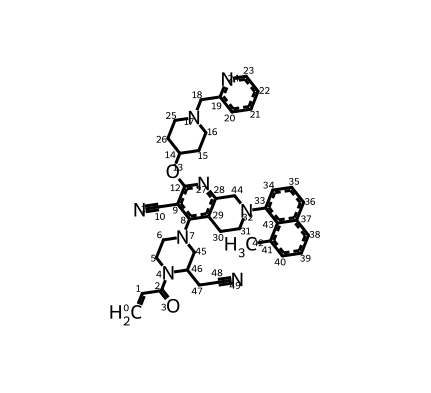 C=CC(=O)N1CCN(c2c(C#N)c(OC3CCN(Cc4ccccn4)CC3)nc3c2CCN(c2cccc4cccc(C)c24)C3)CC1CC#N